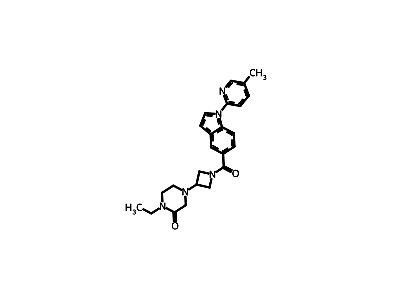 CCN1CCN(C2CN(C(=O)c3ccc4c(ccn4-c4ccc(C)cn4)c3)C2)CC1=O